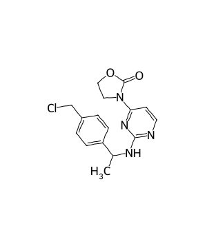 CC(Nc1nccc(N2CCOC2=O)n1)c1ccc(CCl)cc1